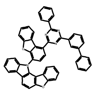 c1ccc(-c2cccc(-c3nc(-c4ccccc4)nc(-c4ccc(-n5c6ccccc6c6ccc7oc8ccccc8c7c65)c5oc6ccccc6c45)n3)c2)cc1